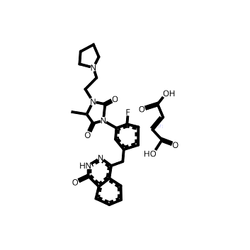 CC1C(=O)N(c2cc(Cc3n[nH]c(=O)c4ccccc34)ccc2F)C(=O)N1CCN1CCCC1.O=C(O)/C=C/C(=O)O